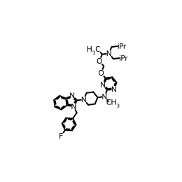 CC(C)CN(CC(C)C)C(C)OCOc1ccnc(N(C)C2CCN(c3nc4ccccc4n3Cc3ccc(F)cc3)CC2)n1